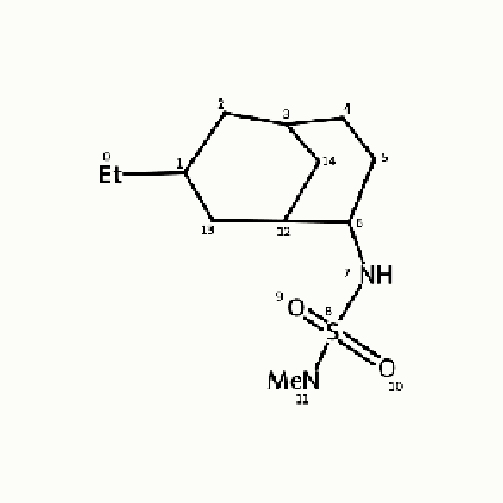 CCC1CC2CCC(NS(=O)(=O)NC)C(C1)C2